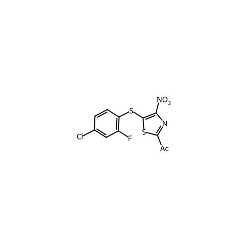 CC(=O)c1nc([N+](=O)[O-])c(Sc2ccc(Cl)cc2F)s1